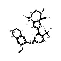 CCc1cc2c(cc1Nc1ncc(C(F)(F)F)c(-c3cc4c(s3)C(=S)N(C)CCS4(=O)=O)n1)CCNC2